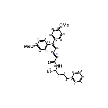 CCC(CCCc1cccnc1)NC(=O)/C=C/C=C(c1ccc(OC)cc1)c1ccc(OC)cc1